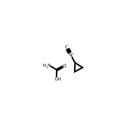 NC(=O)O.[C-]#[N+]C1CC1